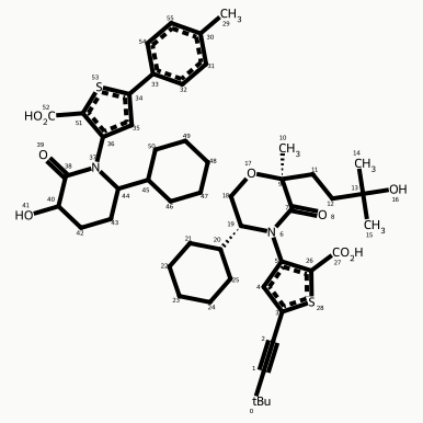 CC(C)(C)C#Cc1cc(N2C(=O)[C@](C)(CCC(C)(C)O)OC[C@H]2C2CCCCC2)c(C(=O)O)s1.Cc1ccc(-c2cc(N3C(=O)C(O)CCC3C3CCCCC3)c(C(=O)O)s2)cc1